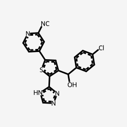 [C-]#[N+]c1cc(-c2cc(C(O)c3ccc(Cl)cc3)c(-c3nnc[nH]3)s2)ccn1